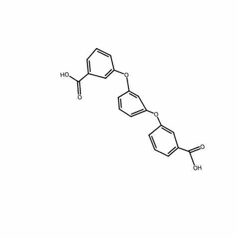 O=C(O)c1cccc(Oc2cccc(Oc3cccc(C(=O)O)c3)c2)c1